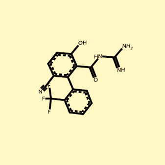 N#Cc1ccc(O)c(C(=O)NC(=N)N)c1-c1ccccc1C(F)(F)F